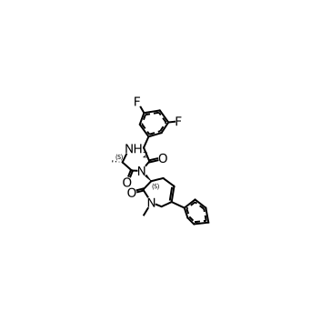 C[C@H](N)C(=O)N(C(=O)Cc1cc(F)cc(F)c1)[C@H]1CC=C(c2ccccc2)CN(C)C1=O